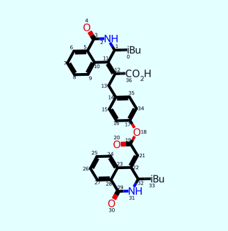 CCC(C)C1NC(=O)c2ccccc2C1=C(Cc1ccc(OC(=O)/C=C2\c3ccccc3C(=O)NC2C(C)CC)cc1)C(=O)O